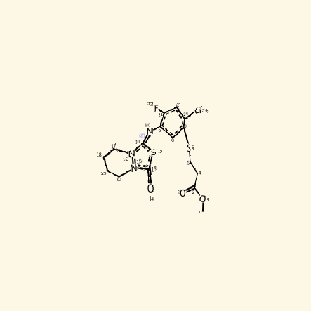 COC(=O)CCSc1cc(/N=c2\sc(=O)n3n2CCCC3)c(F)cc1Cl